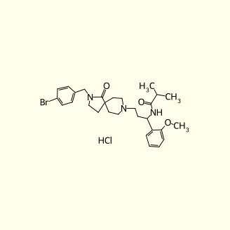 COc1ccccc1C(CCN1CCC2(CC1)CCN(Cc1ccc(Br)cc1)C2=O)NC(=O)C(C)C.Cl